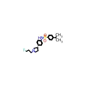 CC(C)c1ccc(S(=O)(=O)Nc2ccc([C@@H]3CCN(CCCF)C3)cc2)cc1